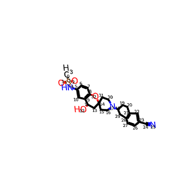 CS(=O)(=O)Nc1ccc2c(c1)C(O)CC1(CCN(C3CCc4cc(C#N)ccc4C3)CC1)O2